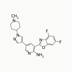 CN1CCC(n2cc(-c3cnc(N)c(-c4nc5c(F)cc(F)cc5o4)c3)cn2)CC1